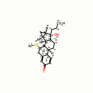 CC(=O)S[C@@H]1CC2=CC(=O)C=C[C@]2(C)[C@H]2CC[C@@]3(C)[C@@H]([C@@H]4C[C@@H]4[C@@]3(O)CCC(=O)O)[C@H]12